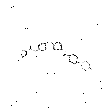 Cn1ccc(C(=O)Nc2ccc(Nc3ccc(NC(=O)c4ccc(N5CCC(O)CC5)cc4)cc3)c(Cl)c2)c1